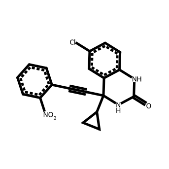 O=C1Nc2ccc(Cl)cc2C(C#Cc2ccccc2[N+](=O)[O-])(C2CC2)N1